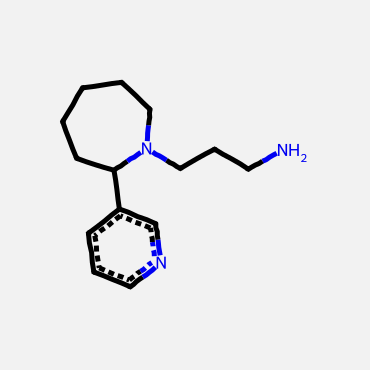 NCCCN1CCCCCC1c1cccnc1